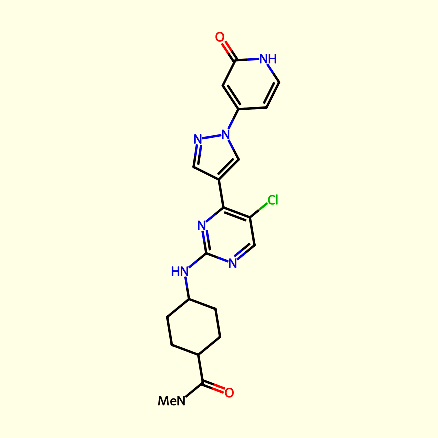 CNC(=O)C1CCC(Nc2ncc(Cl)c(-c3cnn(-c4cc[nH]c(=O)c4)c3)n2)CC1